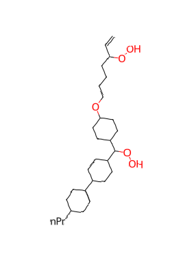 C=CC(CCCCOC1CCC(C(OO)C2CCC(C3CCC(CCC)CC3)CC2)CC1)OO